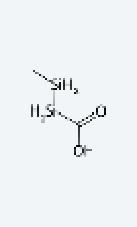 C[SiH2][SiH2]C(=O)O